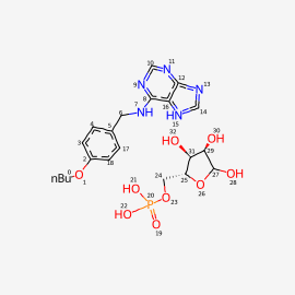 CCCCOc1ccc(CNc2ncnc3nc[nH]c23)cc1.O=P(O)(O)OC[C@H]1OC(O)[C@H](O)[C@@H]1O